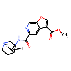 COC(=O)c1coc2cnc(C(=O)N[C@H]3CN4CCC3CC4)cc12